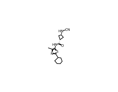 Cc1nc(C2CCCCC2)sc1NC(=O)[C@H]1C[C@H](NC#N)C1